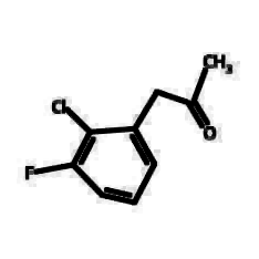 CC(=O)Cc1cccc(F)c1Cl